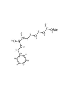 COC(C)OCOCCN(C)C(=O)OCc1ccccc1